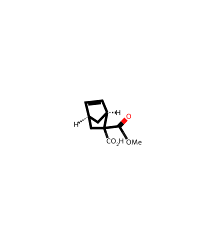 COC(=O)C1(C(=O)O)C[C@H]2C=C[C@@H]1C2